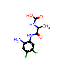 CC(NC(=O)O)C(=O)Nc1cc(F)c(F)cc1N